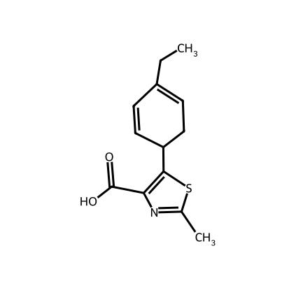 CCC1=CCC(c2sc(C)nc2C(=O)O)C=C1